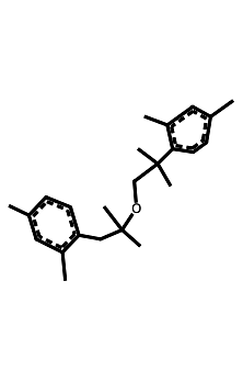 Cc1ccc(CC(C)(C)OCC(C)(C)c2ccc(C)cc2C)c(C)c1